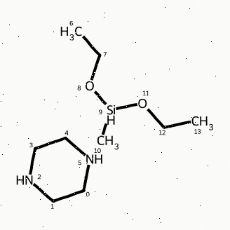 C1CNCCN1.CCO[SiH](C)OCC